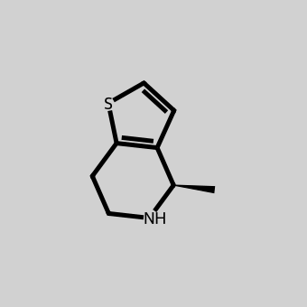 C[C@H]1NCCc2sccc21